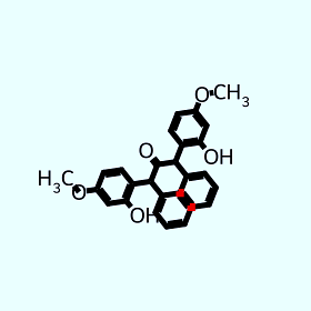 COc1ccc(C(C(=O)C(c2ccccc2)c2ccc(OC)cc2O)c2ccccc2)c(O)c1